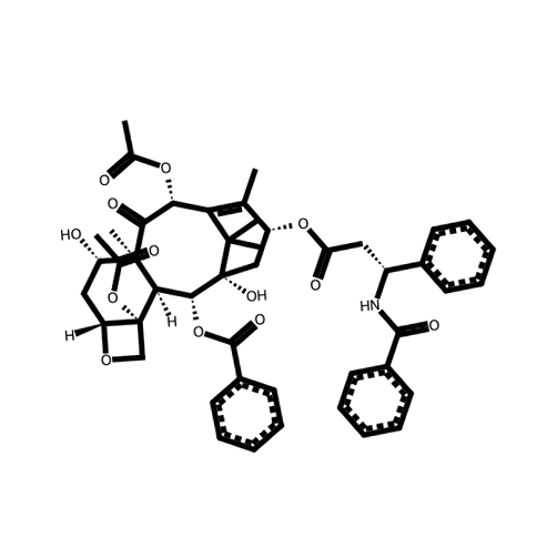 CC(=O)O[C@H]1C(=O)[C@]2(C)[C@@H](O)C[C@H]3OC[C@]3(OC(C)=O)[C@@H]2[C@@H](OC(=O)c2ccccc2)[C@]2(O)C[C@@H](OC(=O)C[C@@H](NC(=O)c3ccccc3)c3ccccc3)C(C)=C1C2(C)C